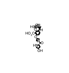 O=C(O)c1c(OC2CN(C(=O)[C@@H]3C[C@H](O)CN3)C2)ccc2c1O[B-](O)(O)[C@@H]1C[C@H]21